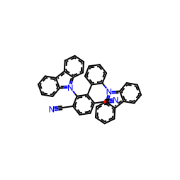 N#Cc1ccc(C#N)c(-n2c3ccccc3c3ccccc32)c1-c1ccccc1-n1c2ccccc2c2ccccc21